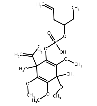 C=CCC(CC)OP(=O)(O)OC1=C(OC)C(C)(OC)C(OC)=C(OC)C1(C)C(=C)C